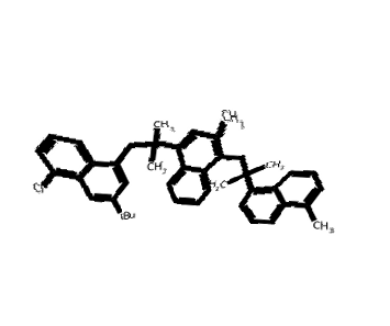 Cc1cc(C(C)(C)Cc2cc(C(C)(C)C)cc3c(Cl)cccc23)c2ccccc2c1CC(C)(C)c1cccc2c(C)cccc12